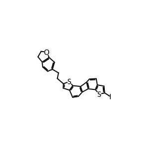 Ic1cc2ccc3c(c2s1)-c1ccc2cc(CCc4ccc5c(c4)OCC5)sc2c1-3